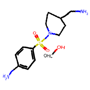 NCC1CCN(S(=O)(=O)c2ccc(N)cc2)CC1.O=CO